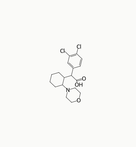 O=C(O)C(c1ccc(Cl)c(Cl)c1)C1CCCCC1N1CCOCC1